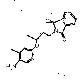 Cc1cc(OC(C)CCN2C(=O)c3ccccc3C2=O)ncc1N